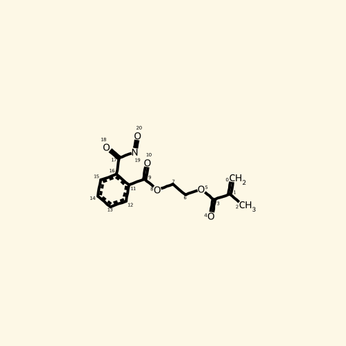 C=C(C)C(=O)OCCOC(=O)c1ccccc1C(=O)N=O